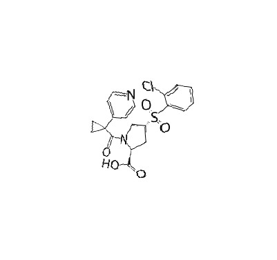 O=C(O)[C@@H]1C[C@@H](S(=O)(=O)c2ccccc2Cl)CN1C(=O)C1(c2ccncc2)CC1